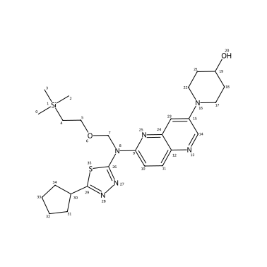 C[Si](C)(C)CCOCN(c1ccc2ncc(N3CCC(O)CC3)cc2n1)c1nnc(C2CCCC2)s1